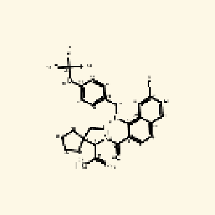 CCC1(C(NC(=O)c2ccc3ccc(F)cc3c2OCc2ccc(OC(F)(F)F)cc2)C(=O)O)CCCC1